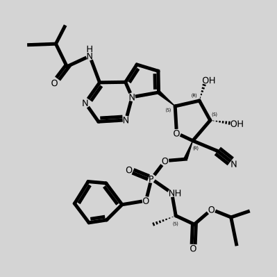 CC(C)OC(=O)[C@H](C)NP(=O)(OC[C@@]1(C#N)O[C@@H](c2ccc3c(NC(=O)C(C)C)ncnn23)[C@H](O)[C@@H]1O)Oc1ccccc1